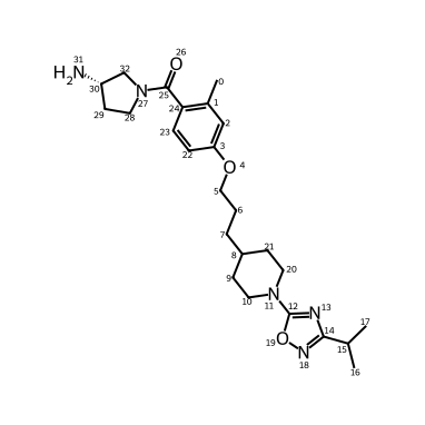 Cc1cc(OCCCC2CCN(c3nc(C(C)C)no3)CC2)ccc1C(=O)N1CC[C@H](N)C1